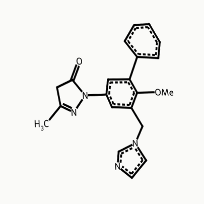 COc1c(Cn2ccnc2)cc(N2N=C(C)CC2=O)cc1-c1ccccc1